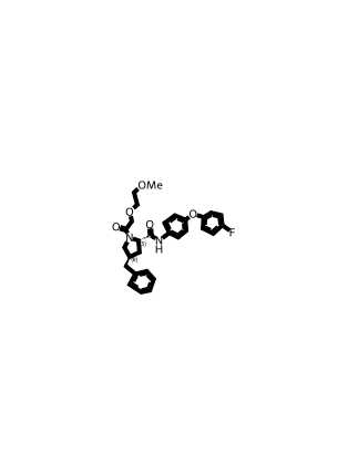 COCCOCC(=O)N1C[C@H](Cc2ccccc2)C[C@H]1C(=O)Nc1ccc(Oc2ccc(F)cc2)cc1